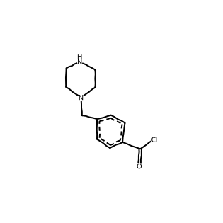 O=C(Cl)c1ccc(CN2CCNCC2)cc1